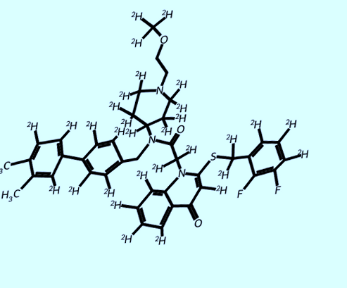 [2H]c1c([2H])c(F)c(F)c(C([2H])([2H])Sc2c([2H])c(=O)c3c([2H])c([2H])c([2H])c([2H])c3n2C([2H])([2H])C(=O)N(Cc2c([2H])c([2H])c(-c3c([2H])c([2H])c(C(F)(F)F)c(C)c3[2H])c([2H])c2[2H])C2([2H])C([2H])([2H])C([2H])([2H])N(CCOC([2H])([2H])[2H])C([2H])([2H])C2([2H])[2H])c1[2H]